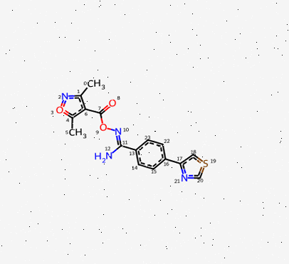 Cc1noc(C)c1C(=O)O/N=C(\N)c1ccc(-c2cscn2)cc1